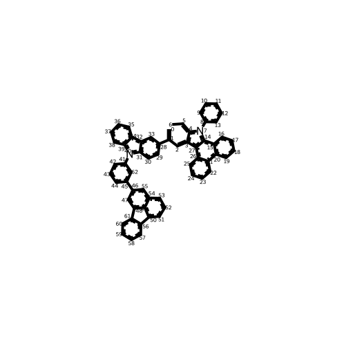 C=C(/C=c1\c(=C/C)n(-c2ccccc2)c2c3ccccc3c3ccccc3c12)c1ccc2c(c1)c1ccccc1n2-c1cccc(-c2cc3c4c(cccc4c2)-c2ccccc2-3)c1